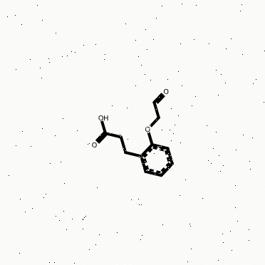 O=CCOc1ccccc1CCC(=O)O